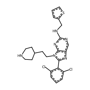 Clc1cccc(Cl)c1-c1nc2cnc(NCc3cccs3)nc2n1CCC1CCNCC1